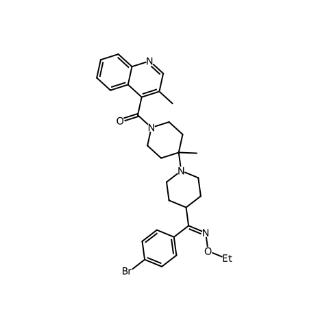 CCON=C(c1ccc(Br)cc1)C1CCN(C2(C)CCN(C(=O)c3c(C)cnc4ccccc34)CC2)CC1